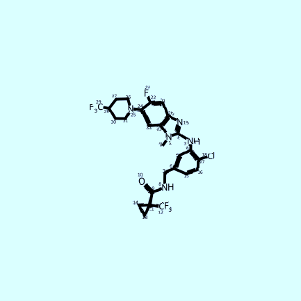 Cn1c(Nc2cc(CNC(=O)C3(C(F)(F)F)CC3)ccc2Cl)nc2cc(F)c(N3CCC(C(F)(F)F)CC3)cc21